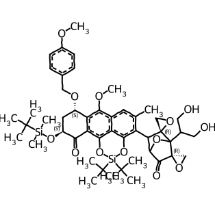 COc1ccc(CO[C@H]2C[C@H](O[Si](C)(C)C(C)(C)C)C(=O)c3c2c(OC)c2cc(C)c(C4C5OC(C(CO)CO)([C@]6(CO6)C5=O)[C@]45CO5)c4c2c3O[Si](C(C)(C)C)(C(C)(C)C)O4)cc1